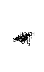 C#C[C@H](O)[C@]12C[C@H]1C[C@@H]1[C@H]3[C@H](CC[C@@]12C)[C@H]1CCC(=O)C=C1C[C@H]3C